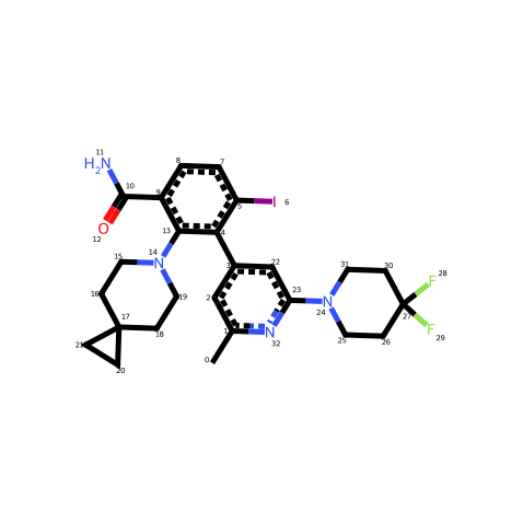 Cc1cc(-c2c(I)ccc(C(N)=O)c2N2CCC3(CC2)CC3)cc(N2CCC(F)(F)CC2)n1